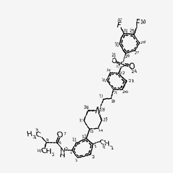 Cc1ccc(NC(=O)C(C)C)cc1C1CCN(CCc2ccc(S(=O)(=O)c3ccc(F)c(F)c3)cc2)CC1